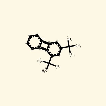 CC(C)(C)c1cc(C(C)(C)C)c2c(c1)=c1ccccc1=2